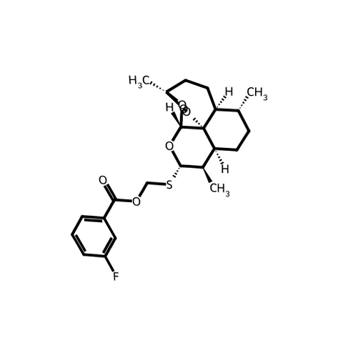 C[C@H]1[C@H](SCOC(=O)c2cccc(F)c2)O[C@@H]2O[C@]3(C)CC[C@H]4[C@H](C)CC[C@@H]1[C@@]24OO3